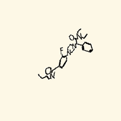 CCc1cnc(-c2ccc(N3CCN(C(C(=O)N(CC)CC)c4ccccc4)CC3)c(F)c2)o1